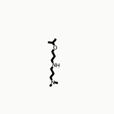 CC(C)OCCCNCCCN(C)C